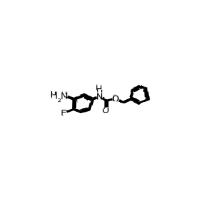 Nc1cc(NC(=O)OCc2ccccc2)ccc1F